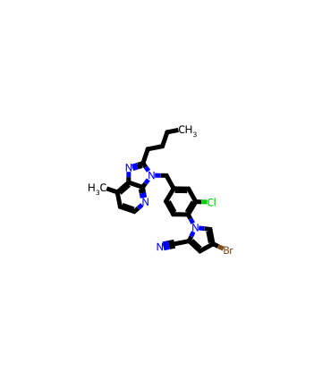 CCCCc1nc2c(C)ccnc2n1Cc1ccc(-n2cc(Br)cc2C#N)c(Cl)c1